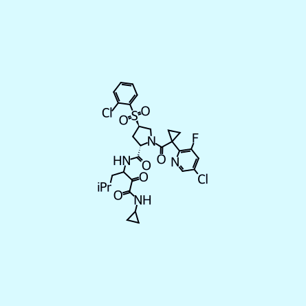 CC(C)CC(NC(=O)[C@@H]1C[C@@H](S(=O)(=O)c2ccccc2Cl)CN1C(=O)C1(c2ncc(Cl)cc2F)CC1)C(=O)C(=O)NC1CC1